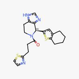 O=C(CCc1nccs1)N1CCc2[nH]cnc2[C@H]1c1cc2c(s1)CCCC2